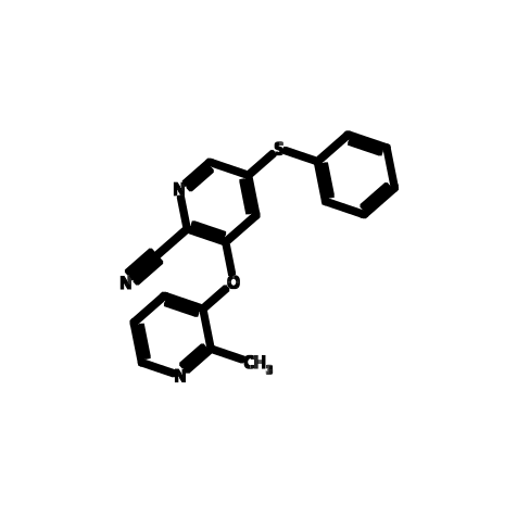 Cc1ncccc1Oc1cc(Sc2ccccc2)cnc1C#N